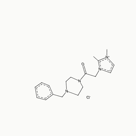 Cc1n(CC(=O)N2CCN(Cc3ccccc3)CC2)cc[n+]1C.[Cl-]